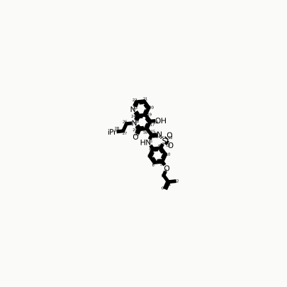 C=C(C)COc1ccc2c(c1)S(=O)(=O)N=C(c1c(O)c3cccnc3n(CCC(C)C)c1=O)N2